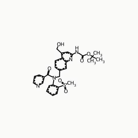 CC(C)(C)OC(=O)Nc1cc(CO)c2ccc(CN(C(=O)c3cccnc3)c3ccccc3S(C)(=O)=O)cc2n1